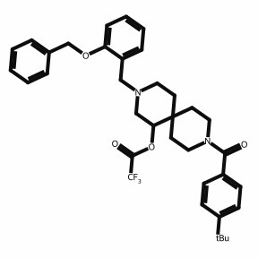 CC(C)(C)c1ccc(C(=O)N2CCC3(CCN(Cc4ccccc4OCc4ccccc4)CC3OC(=O)C(F)(F)F)CC2)cc1